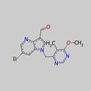 COc1ncnc(Cn2cc(C=O)c3ncc(Br)cc32)c1C